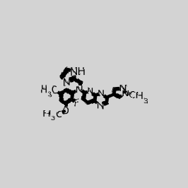 COc1cc(C)cc(N(Cc2ncc[nH]2)c2ccc3ncc(-c4cnn(C)c4)nc3n2)c1F